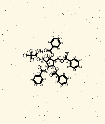 N=C(O[C@H]1OC2(OC(=O)c3ccccc3)C1C(OC(=O)c1ccccc1)[C@H](OC(=O)c1ccccc1)C2COC(=O)c1ccccc1)C(Cl)(Cl)Cl